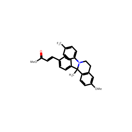 COC(=O)/C=C/c1ccc(C2(C)c3ccc(OC)cc3CCN2c2ccc(C(F)(F)F)cc2)cc1